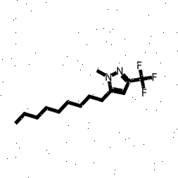 CCCCCCCCCc1cc(C(F)(F)F)nn1C